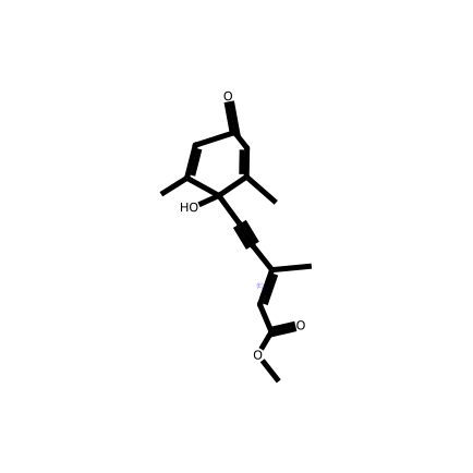 COC(=O)/C=C(\C)C#CC1(O)C(C)=CC(=O)C=C1C